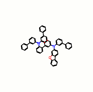 c1ccc(-c2cccc(N(c3cccc(-c4ccccc4N(c4cccc(-c5ccccc5)c4)c4cccc(-c5ccccc5)c4)c3)c3ccc4c(c3)oc3ccccc34)c2)cc1